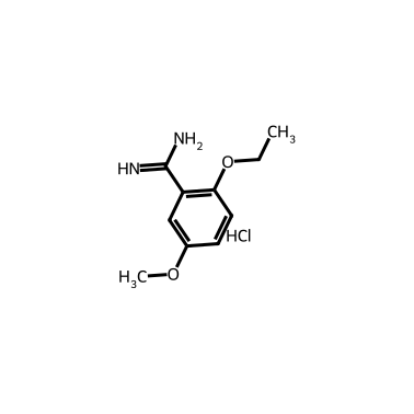 CCOc1ccc(OC)cc1C(=N)N.Cl